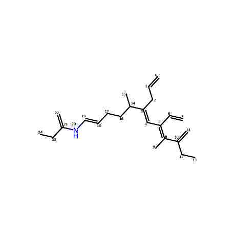 C=CC/C(=C\C(C=C)=C(/C)C(=C)CC)C(C)CC/C=C/NC(=C)CC